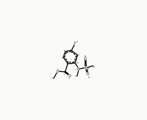 COC(=O)c1ccc(F)cc1N(C)S(C)(=O)=O